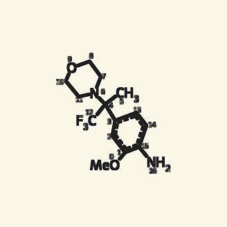 COc1cc(C(C)(N2CCOCC2)C(F)(F)F)ccc1N